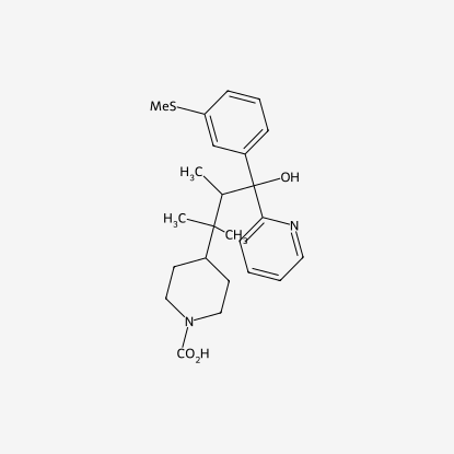 CSc1cccc(C(O)(c2ccccn2)C(C)C(C)(C)C2CCN(C(=O)O)CC2)c1